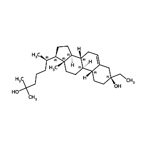 CC[C@]1(O)CC[C@H]2C(=CC[C@@H]3[C@@H]2CC[C@]2(C)[C@@H]([C@H](C)CCCC(C)(C)O)CC[C@@H]32)C1